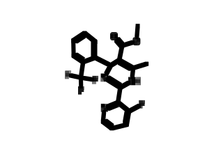 COC(=O)C1=C(C)NC(c2ncccc2F)=NC1c1ccccc1C(F)(F)F